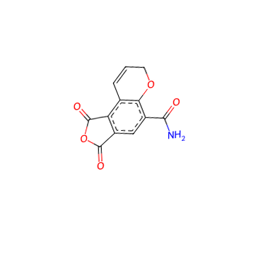 NC(=O)c1cc2c(c3c1OCC=C3)C(=O)OC2=O